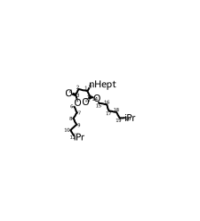 CCCCCCCC(CC(=O)OCCCCCC(C)C)C(=O)OCCCCCC(C)C